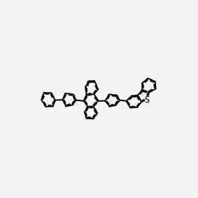 c1ccc(-c2ccc(-c3c4ccccc4c(-c4ccc(-c5ccc6sc7ccccc7c6c5)cc4)c4ccccc34)cc2)cc1